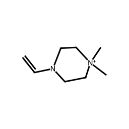 C=CN1CC[N+](C)(C)CC1